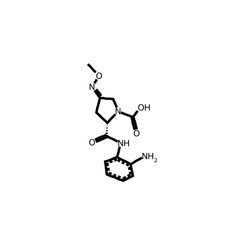 CON=C1C[C@@H](C(=O)Nc2ccccc2N)N(C(=O)O)C1